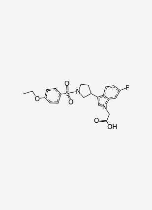 CCOc1ccc(S(=O)(=O)N2CCC(c3cn(CC(=O)O)c4cc(F)ccc34)C2)cc1